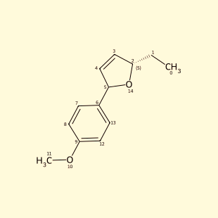 CC[C@H]1C=CC(c2ccc(OC)cc2)O1